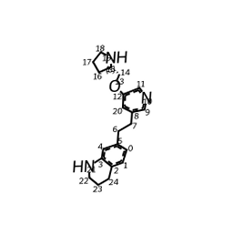 c1cc2c(cc1CCc1cncc(OC[C@@H]3CCCN3)c1)NCCC2